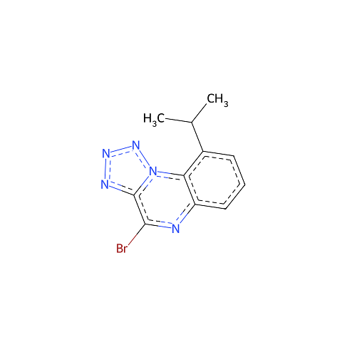 CC(C)c1cccc2nc(Br)c3nnnn3c12